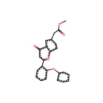 COC(=O)Cc1ccc2oc(-c3ccccc3Oc3ccccc3)cc(=O)c2c1